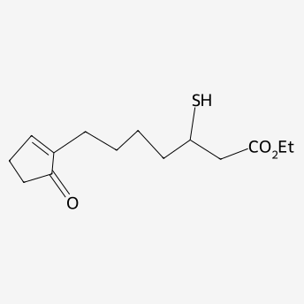 CCOC(=O)CC(S)CCCCC1=CCCC1=O